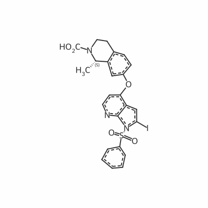 C[C@H]1c2cc(Oc3ccnc4c3cc(I)n4S(=O)(=O)c3ccccc3)ccc2CCN1C(=O)O